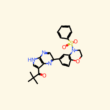 CC(C)(C)C(=O)c1c[nH]c2ncc(-c3ccc4c(c3)N(S(=O)(=O)c3ccccc3)CCO4)nc12